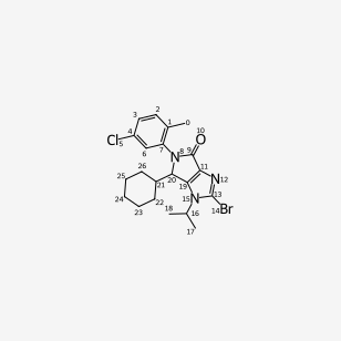 Cc1ccc(Cl)cc1N1C(=O)c2nc(Br)n(C(C)C)c2C1C1CCCCC1